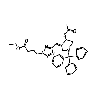 CCOC(=O)CCCn1nnc(/C=C2\CN(C(c3ccccc3)(c3ccccc3)c3ccccc3)CCC2SC(C)=O)n1